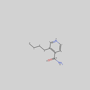 CCCCc1cnccc1C(N)=O